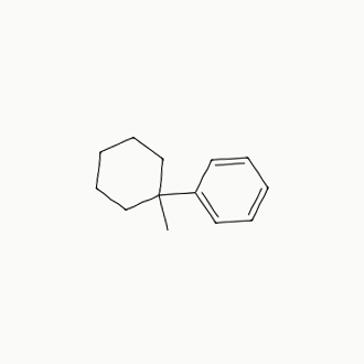 CC1(c2ccccc2)CCCCC1